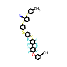 C#Cc1cccc(Oc2c(F)c(F)c(-c3c(F)c(F)c(Sc4ccc(Sc5ccc(Sc6cccc(Sc7ccc(C)cc7)c6C#N)cc5)cc4)c(F)c3F)c(F)c2F)c1